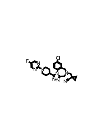 N#CC1(CN2Cc3cc(Cl)ccc3-n3c(nnc3C3CCN(c4ncc(F)cn4)CC3)C2)CC1